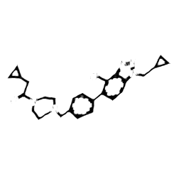 O=C(CC1CC1)N1CCN(Cc2ccc(-c3ccc4c(nnn4CC4CC4)c3Cl)cc2)CC1